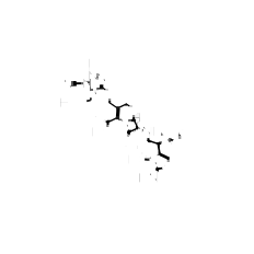 CCN1C(SCC2=C(C(=O)O)N3C(=O)[C@@H](NC(=O)C(=NOC)c4csc(=N)n4O)[C@@H]3SC2)=NNN1C#N